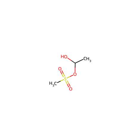 CC(O)OS(C)(=O)=O